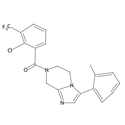 Cc1ccccc1-c1cnc2n1CCN(C(=O)c1cccc(C(F)(F)F)c1Cl)C2